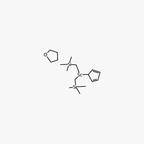 C1CCOC1.C[Si](C)(C)[CH2][Sc]([CH2][Si](C)(C)C)[CH]1C=CC=C1